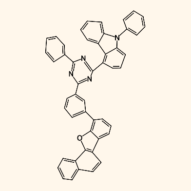 c1ccc(-c2nc(-c3cccc(-c4cccc5c4oc4c6ccccc6ccc54)c3)nc(-c3cccc4c3c3ccccc3n4-c3ccccc3)n2)cc1